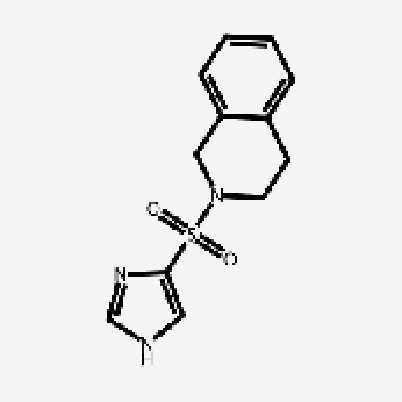 O=S(=O)(c1c[nH]cn1)N1CCc2ccccc2C1